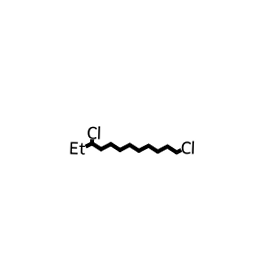 CCC(Cl)CCCCCCCCCCl